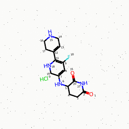 Cl.O=C1CCC(NC2=CC(F)=C(C3=CCNCC3)NC2)C(=O)N1